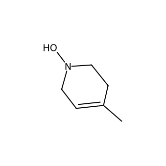 CC1=CCN(O)CC1